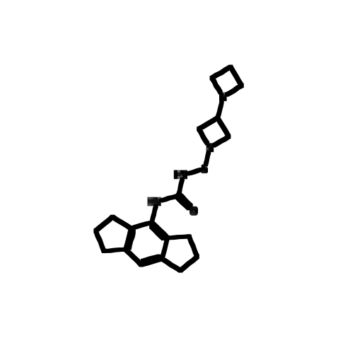 O=C(NSN1CC(N2CCC2)C1)Nc1c2c(cc3c1CCC3)CCC2